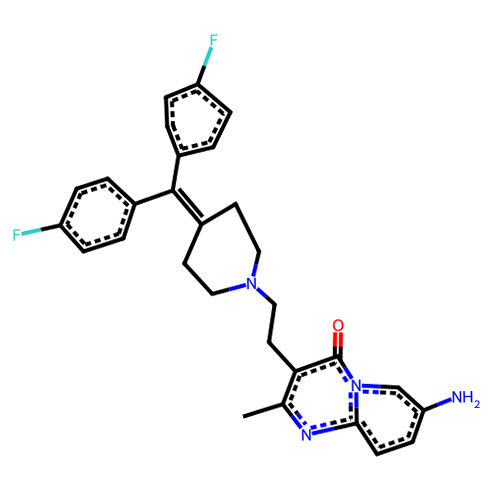 Cc1nc2ccc(N)cn2c(=O)c1CCN1CCC(=C(c2ccc(F)cc2)c2ccc(F)cc2)CC1